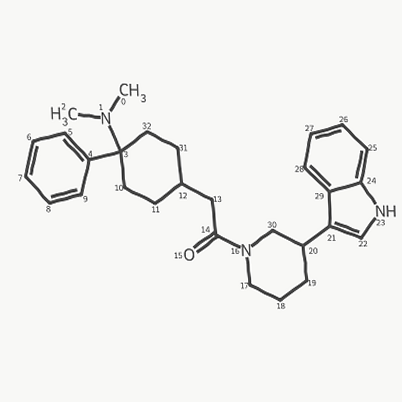 CN(C)C1(c2ccccc2)CCC(CC(=O)N2CCCC(c3c[nH]c4ccccc34)C2)CC1